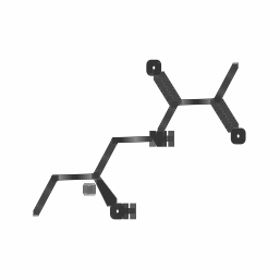 CC[C@H](O)CNC(=O)C(C)=O